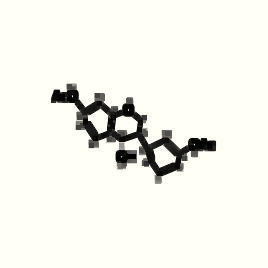 CC(=O)Oc1cccc(C2COc3cc(OC(C)=O)ccc3[C@H]2O)c1